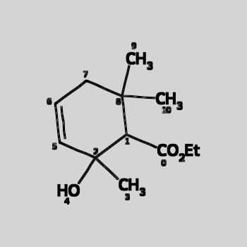 CCOC(=O)C1C(C)(O)C=CCC1(C)C